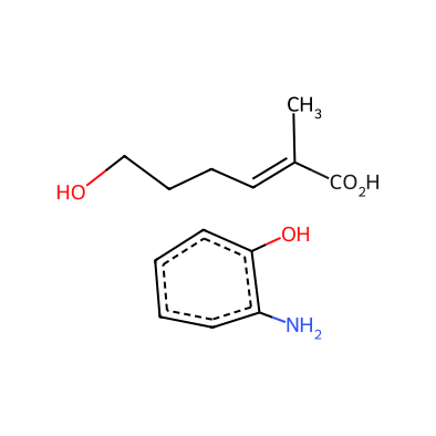 CC(=CCCCO)C(=O)O.Nc1ccccc1O